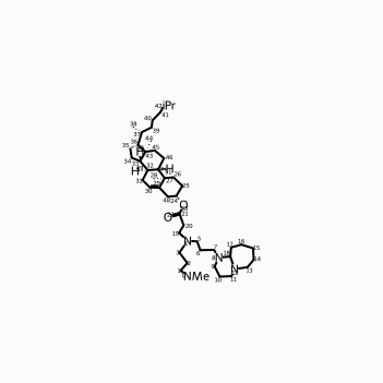 CNCCCN(CCCN1CCCN2CCCCCC21)CCC(=O)O[C@H]1CC[C@@]2(C)C(=CC[C@H]3[C@@H]4CC[C@H]([C@H](C)CCCC(C)C)[C@@]4(C)CC[C@@H]32)C1